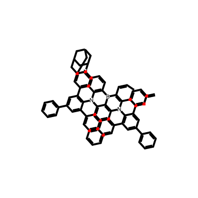 C=C/C=C\CC1=C(/C=C\C)B2c3ccc(N4C5CC6CC(C5)CC4C6)cc3N(c3c(-c4ccccc4)cc(-c4ccccc4)cc3-c3ccccc3)c3cc(-c4ccccc4)cc(c32)N1c1c(-c2ccccc2)cc(-c2ccccc2)cc1-c1ccccc1